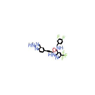 CNc1ncc2cc(C#CCNc3ncc(C(F)(F)F)cc3C(=O)NCc3ccc(F)c(F)c3)ccc2n1